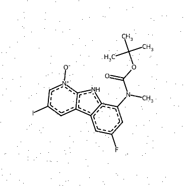 CN(C(=O)OC(C)(C)C)c1cc(F)cc2c1[nH]c1c2cc(I)c[n+]1[O-]